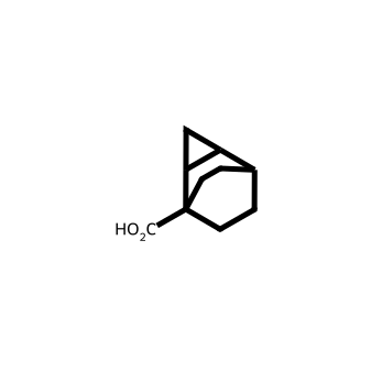 O=C(O)C12CCC(CC1)C1CC12